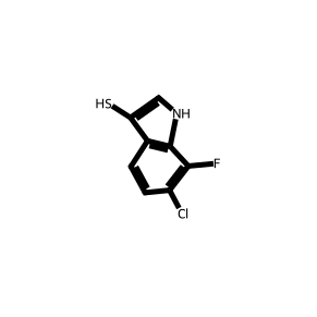 Fc1c(Cl)ccc2c(S)c[nH]c12